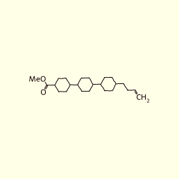 C=CCCC1CCC(C2CCC(C3CCC(C(=O)OC)CC3)CC2)CC1